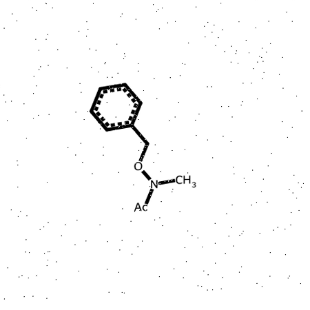 CC(=O)N(C)OCc1ccccc1